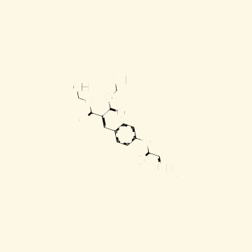 C=CC(=O)Oc1ccc(C=C(C(=O)OCC)C(=O)OCC)cc1